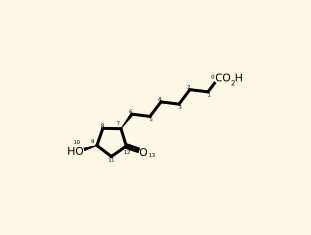 O=C(O)CCCCCC[C@@H]1C[C@H](O)CC1=O